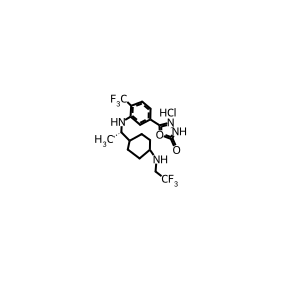 C[C@H](Nc1cc(-c2n[nH]c(=O)o2)ccc1C(F)(F)F)C1CCC(NCC(F)(F)F)CC1.Cl